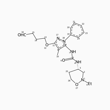 CCN1C[C@@H](NC(=O)Nc2c(C)c(OCCCC=O)nn2-c2ccccc2)CCO1